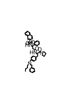 CCCCN(Cc1ccccc1)Cc1ccc(CC(NC(=O)CC(NS(=O)(=O)c2ccc3ccccc3c2)c2ccccc2)C(=O)N2CCCC2)cc1